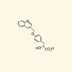 O=C(O)C(O)Cc1ccc(OCc2cnc3ccccc3c2)cc1